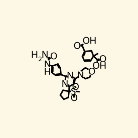 CC1(C(=O)O)C=CC=C(C(=O)O)C1.CS(=O)(=O)C1(c2cc(N3CCOCC3)nc(-c3ccc(NC(N)=O)cc3)n2)CCCC1